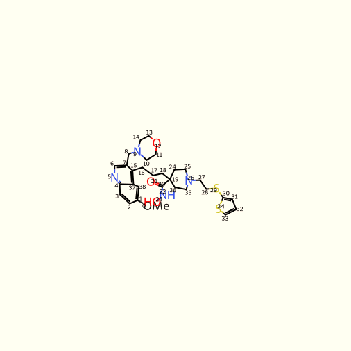 COc1ccc2ncc(CN3CCOCC3)c(CCCC3(C(=O)NO)CCN(CCSc4cccs4)CC3)c2c1